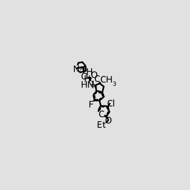 CCOc1ccc(-c2cc3c(cc2F)[C@H](NC(=O)O[C@H]2CN4CCC2CC4)C(C)(C)C3)c(Cl)c1